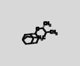 CC(C)[C@@H](C)OC1C2CC3CC(C2)CC1C3